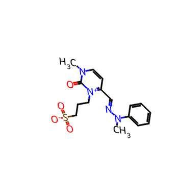 CN(/N=C/c1ccn(C)c(=O)[n+]1CCCS(=O)(=O)[O-])c1ccccc1